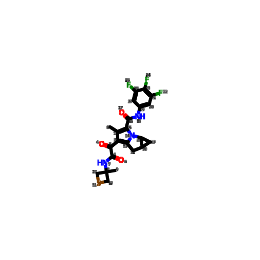 Cc1c(C(=O)C(=O)NC2(C)CSC2)c2n(c1C(=O)Nc1cc(F)c(F)c(F)c1)C1CC1C2